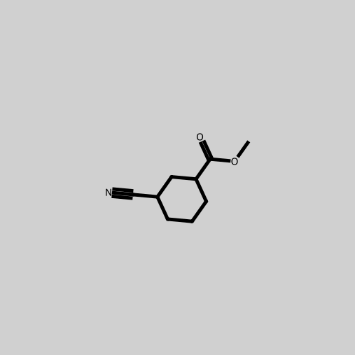 COC(=O)C1CCCC(C#N)C1